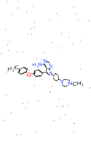 Cc1ccc(Oc2ccc(-c3cn(C4CCC(N5CCN(C)CC5)CC4)c4ncnc(N)c34)cc2)cc1